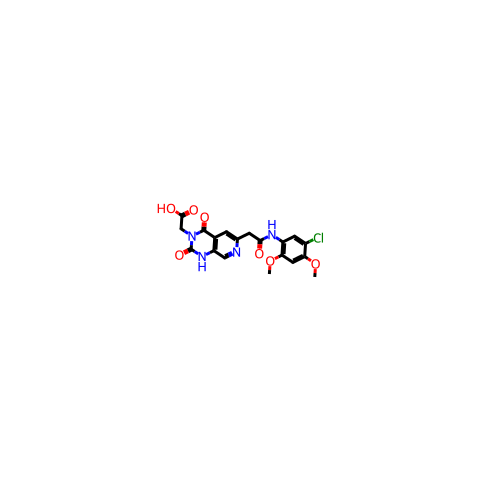 COc1cc(OC)c(NC(=O)Cc2cc3c(=O)n(CC(=O)O)c(=O)[nH]c3cn2)cc1Cl